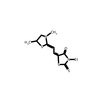 CCN1C(=O)/C(=C\C=C2/SC(C)CN2C)SC1=S